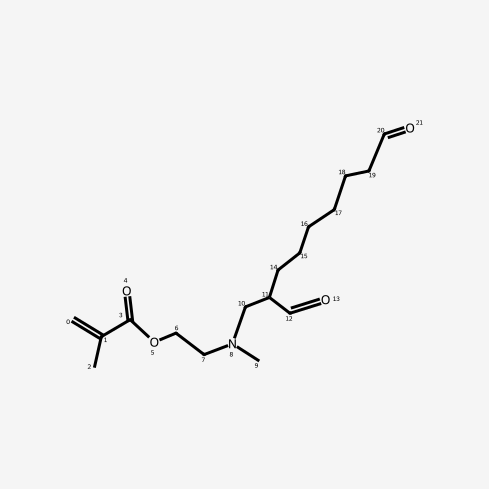 C=C(C)C(=O)OCCN(C)CC(C=O)CCCCCCC=O